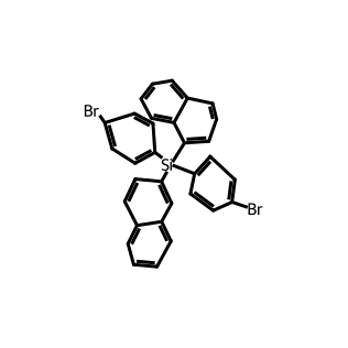 Brc1ccc([Si](c2ccc(Br)cc2)(c2ccc3ccccc3c2)c2cccc3ccccc23)cc1